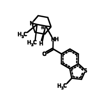 Cc1csc2ccc(C(=O)N[C@H]3C4CCN(CC4)C3(C)C)cc12